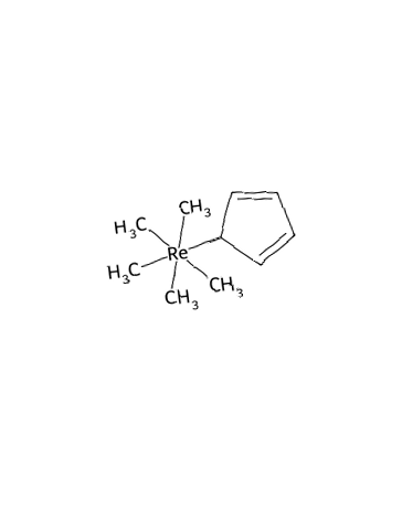 [CH3][Re]([CH3])([CH3])([CH3])([CH3])[CH]1C=CC=C1